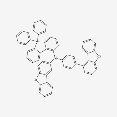 c1ccc(C2(c3ccccc3)c3ccccc3-c3c(N(c4ccc(-c5cccc6oc7ccccc7c56)cc4)c4ccc5sc6ccccc6c5c4)cccc32)cc1